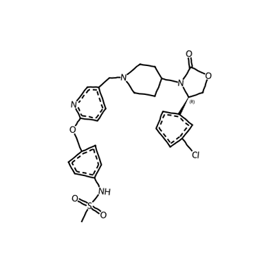 CS(=O)(=O)Nc1ccc(Oc2ccc(CN3CCC(N4C(=O)OC[C@H]4c4cccc(Cl)c4)CC3)cn2)cc1